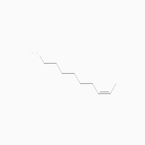 C/C=C\CCCCCCC=O